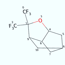 FC(F)(F)C1(C(F)(F)F)OC2CC3CC2C1C3